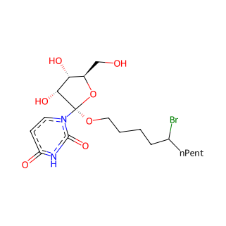 CCCCCC(Br)CCCCO[C@@]1(n2ccc(=O)[nH]c2=O)O[C@H](CO)[C@@H](O)[C@H]1O